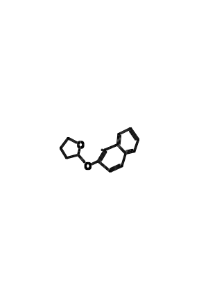 [c]1c(OC2CCCO2)ccc2ccccc12